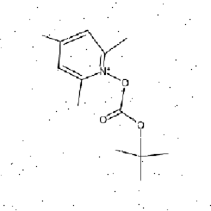 Cc1cc(C)[n+](OC(=O)OC(C)(C)C)c(C)c1